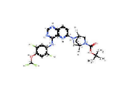 CC(C)(C)OC(=O)N1C[C@@H]2C[C@H]1CN2c1ccc2ncnc(Nc3cc(F)c(OC(F)F)cc3F)c2n1